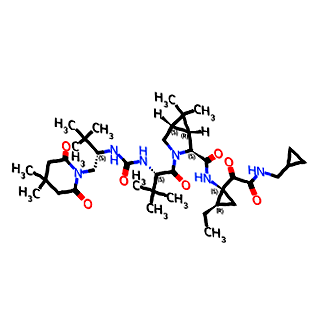 CC[C@@H]1C[C@@]1(NC(=O)[C@@H]1[C@@H]2[C@H](CN1C(=O)[C@@H](NC(=O)N[C@H](CN1C(=O)CC(C)(C)CC1=O)C(C)(C)C)C(C)(C)C)C2(C)C)C(=O)C(=O)NCC1CC1